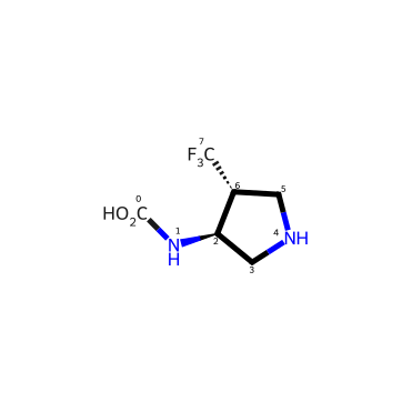 O=C(O)N[C@@H]1CNC[C@H]1C(F)(F)F